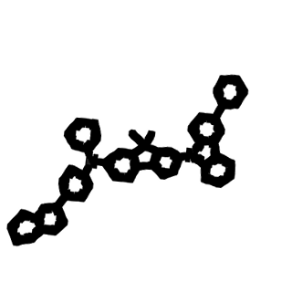 CC1(C)c2cc(N(c3ccccc3)c3ccc(-c4ccc5ccccc5c4)cc3)ccc2-c2ccc(-n3c4ccccc4c4cc(-c5ccccc5)ccc43)cc21